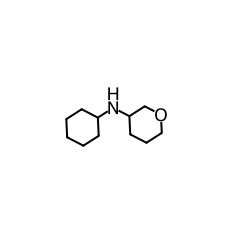 C1CCC(NC2CCCOC2)CC1